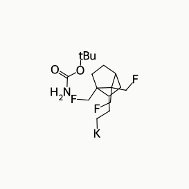 CC(C)(C)OC(N)=O.FCC1(CF)C2CCC1(CF)C(C[CH2][K])C2